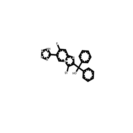 CCc1c(C(O)(c2ccccc2)c2ccccc2)nc2cc(F)c(-c3nnn[nH]3)cn12